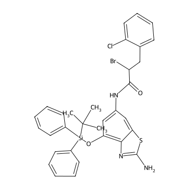 CC(C)(C)[Si](Oc1cc(NC(=O)C(Br)Cc2ccccc2Cl)cc2sc(N)nc12)(c1ccccc1)c1ccccc1